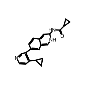 O=C(NC1C=c2ccc(-c3cnccc3C3CC3)cc2=CN1)C1CC1